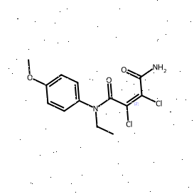 CCN(C(=O)/C(Cl)=C(/Cl)C(N)=O)c1ccc(OC)cc1